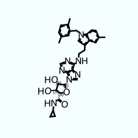 Cc1ccc(C)c(Cn2cc(CCNc3ncnc4c3ncn4[C@@H]3O[C@H](C(=O)NC4CC4)[C@@H](O)[C@H]3O)c3cc(C)ccc32)c1